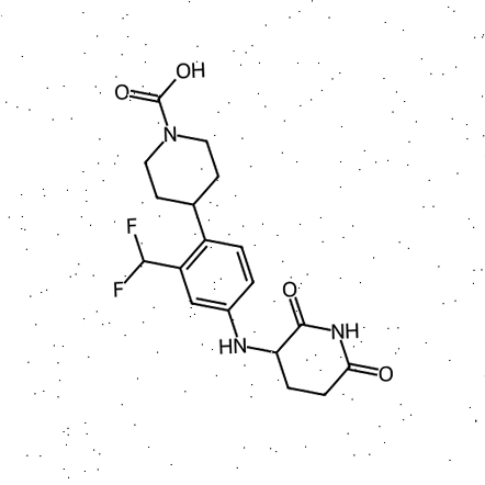 O=C1CCC(Nc2ccc(C3CCN(C(=O)O)CC3)c(C(F)F)c2)C(=O)N1